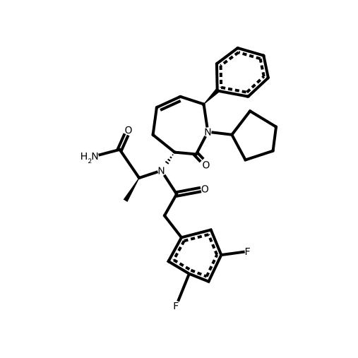 C[C@@H](C(N)=O)N(C(=O)Cc1cc(F)cc(F)c1)[C@@H]1CC=C[C@@H](c2ccccc2)N(C2CCCC2)C1=O